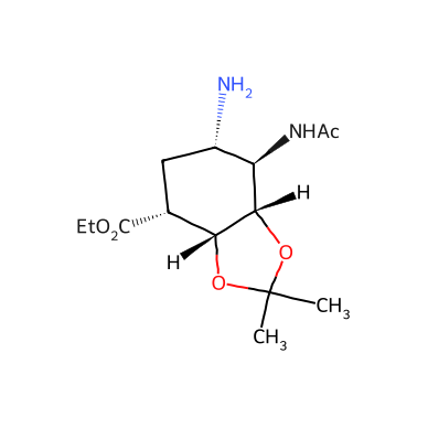 CCOC(=O)[C@@H]1C[C@H](N)[C@@H](NC(C)=O)[C@@H]2OC(C)(C)O[C@@H]21